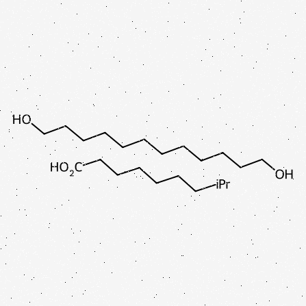 CC(C)CCCCCCC(=O)O.OCCCCCCCCCCCCO